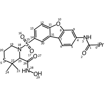 CC(C)C(=O)Nc1ccc2c(c1)oc1ccc(S(=O)(=O)N3CCSC(C)(C)C3C(=O)NO)cc12